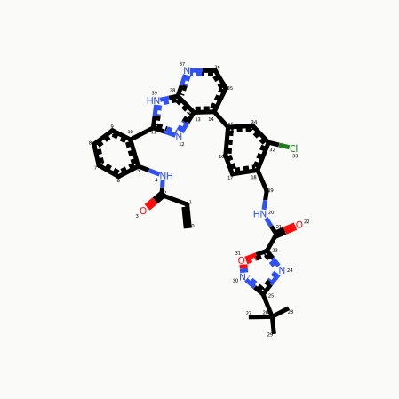 C=CC(=O)Nc1ccccc1-c1nc2c(-c3ccc(CNC(=O)c4nc(C(C)(C)C)no4)c(Cl)c3)ccnc2[nH]1